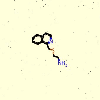 NCCSCc1nccc2ccccc12